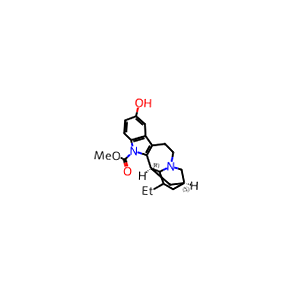 CCC1C[C@H]2C[C@H]3c4c(c5cc(O)ccc5n4C(=O)OC)CCN(C2)C13